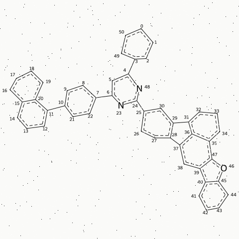 c1ccc(-c2cc(-c3ccc(-c4cccc5ccccc45)cc3)nc(-c3ccc4c(c3)-c3cccc5c3c-4cc3c4ccccc4oc53)n2)cc1